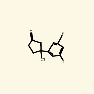 N#CC1(c2cc(F)cc(F)c2)CCC(=O)C1